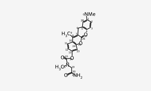 CNc1cccc(Cc2c(C)c3ccc(OC(=O)N(C)CC(N)=O)cc3oc2=O)c1